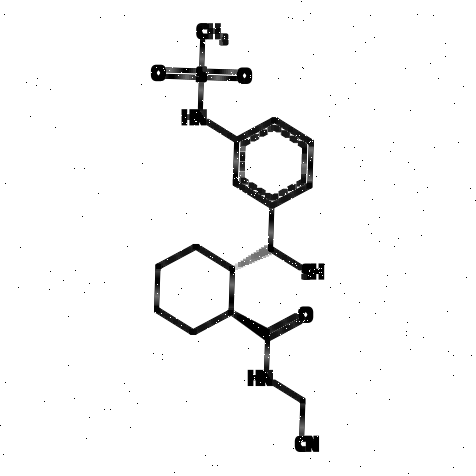 CS(=O)(=O)Nc1cccc(C(S)[C@H]2CCCC[C@@H]2C(=O)NCC#N)c1